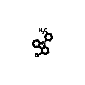 Cc1cccc(-n2c3ccccc3c3c(Br)cccc32)c1